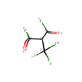 O=C(F)C(C(=O)F)C(F)(F)F